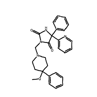 COC1(c2ccccc2)CCN(CN2C(=O)NC(c3ccccc3)(c3ccccn3)C2=O)CC1